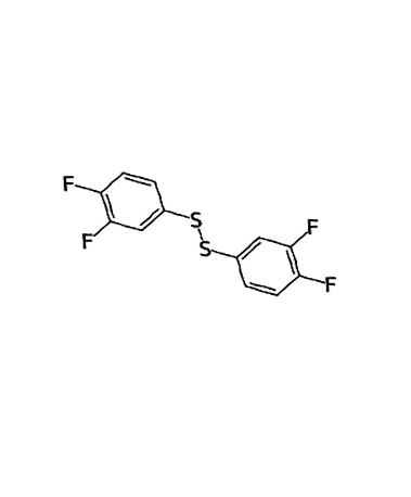 Fc1ccc(SSc2ccc(F)c(F)c2)cc1F